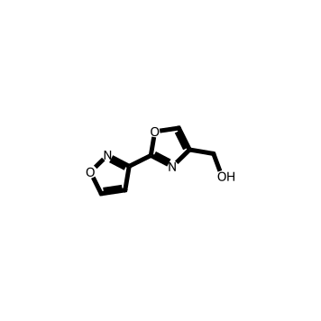 OCc1coc(-c2ccon2)n1